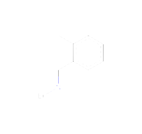 [CH2]c1ccccc1CNCC